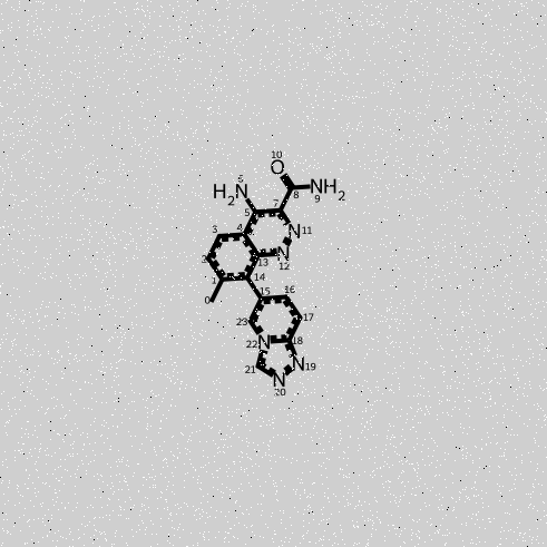 Cc1ccc2c(N)c(C(N)=O)nnc2c1-c1ccc2nncn2c1